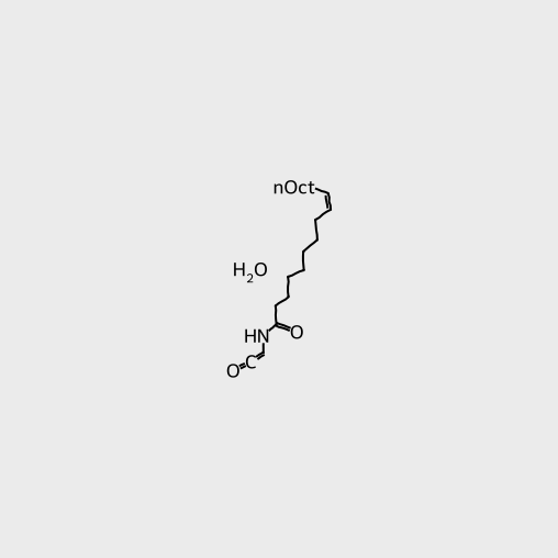 CCCCCCCC/C=C\CCCCCCCC(=O)NC=C=O.O